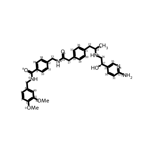 COc1ccc(CNC(=O)c2ccc(CNC(=O)Cc3ccc(CC(C)NC[C@H](O)c4ccc(N)nc4)cc3)cc2)cc1OC